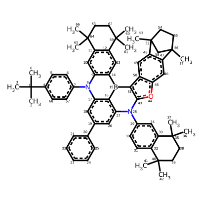 CC(C)(C)c1ccc(N2c3cc4c(cc3B3c5c2cc(-c2ccccc2)cc5N(c2ccc5c(c2)C(C)(C)CCC5(C)C)c2oc5cc6c(cc5c23)C2(C)CCC6(C)C2)C(C)(C)CCC4(C)C)cc1